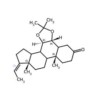 C/C=C1/CCC2C3C(CC[C@]12C)[C@@]1(C)CCC(=O)CC1[C@H]1OC(C)(C)O[C@H]31